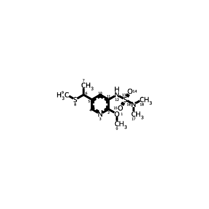 COc1ncc(C(C)SC)cc1NS(=O)(=O)N(C)C